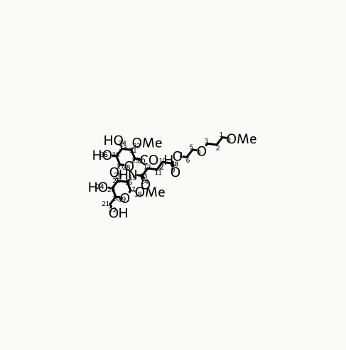 COCCCOCCOC(=O)CCCC(=O)NC1[C@H](OC)OC(CO)[C@@H](O)[C@@H]1O[C@@H]1OC(C(=O)O)[C@@H](OC)[C@@H](O)C1O